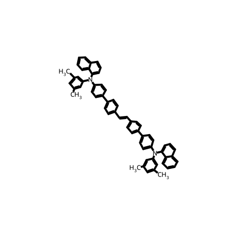 Cc1cc(C)cc(N(c2ccc(-c3ccc(/C=C/c4ccc(-c5ccc(N(c6cc(C)cc(C)c6)c6cccc7ccccc67)cc5)cc4)cc3)cc2)c2cccc3ccccc23)c1